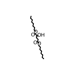 CCCCCCCCOC(=O)CC[C@H](O)C(=O)OCCCCCCCC